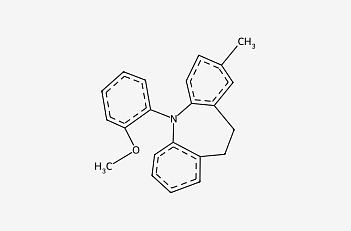 COc1ccccc1N1c2ccccc2CCc2cc(C)ccc21